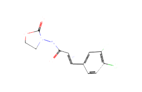 O=C(/C=C/c1ccc(Cl)c(Cl)c1)NN1CCOC1=O